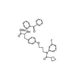 COC(=O)C(Cc1ccc(OCCCN(C(=O)C2CCC2)c2cccc(F)c2)cc1)Nc1ccccc1C(=O)c1ccccc1